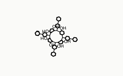 Oc1cc(O)c2cc1C(c1ccc(-c3ccccc3)cc1)c1ccc(O)c(c1)C(c1ccc(-c3ccccc3)cc1)c1cc(c(O)cc1O)C(c1ccc(-c3c#cccc3)cc1)c1cc(c(O)cc1O)C2c1ccc(-c2ccccc2)cc1